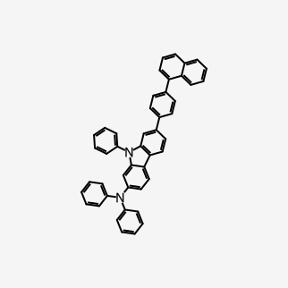 c1ccc(N(c2ccccc2)c2ccc3c4ccc(-c5ccc(-c6cccc7ccccc67)cc5)cc4n(-c4ccccc4)c3c2)cc1